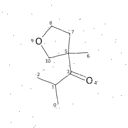 CC(C)C(=O)C1(C)CCOC1